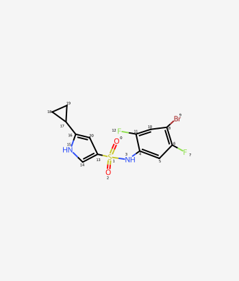 O=S(=O)(Nc1cc(F)c(Br)cc1F)c1c[nH]c(C2CC2)c1